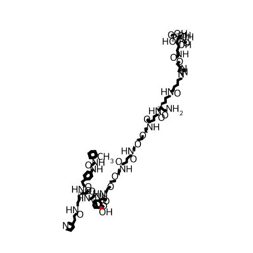 Cc1ccccc1NC(=O)Nc1ccc(CC(=O)N[C@@H](CCCCNC(=O)CCc2cccnc2)C(=O)N[C@@H](CCCC(=O)O)C(=O)NC2(C(=O)NCCOCCOCCNC(=O)CCC(=O)NCCOCCOCCNC(=O)CCC(=O)N[C@@H](CCCCNC(=O)CCCCn3cc(COC(=O)NCCCC(O)(P(=O)(O)O)P(=O)(O)O)nn3)C(N)=O)CCCCC2)cc1